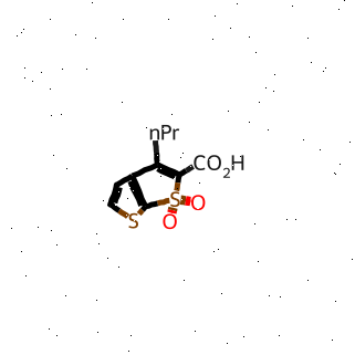 CCCC1=C(C(=O)O)S(=O)(=O)c2sccc21